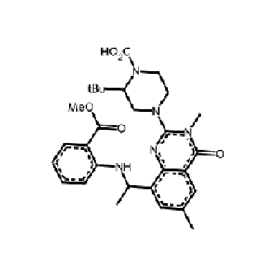 COC(=O)c1ccccc1NC(C)c1cc(C)cc2c(=O)n(C)c(N3CCN(C(=O)O)C(C(C)(C)C)C3)nc12